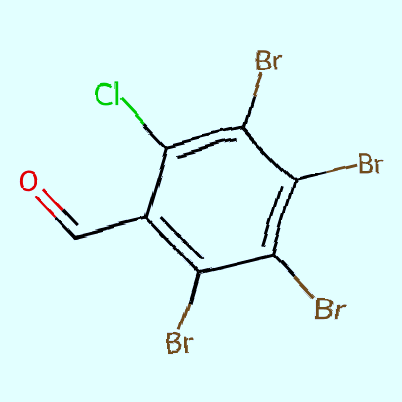 O=Cc1c(Cl)c(Br)c(Br)c(Br)c1Br